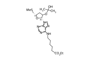 CCOC(=O)CCCCCNc1ncnc2c1ncn2[C@@H]1O[C@H](CSC)CC1OC(C)(C)O